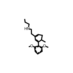 CCCNCCC1=CCC(C)C(c2c(OC)cccc2OC)=C1